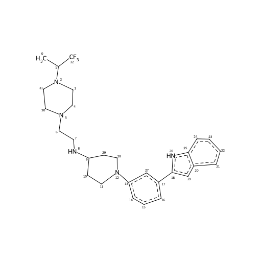 CC(N1CCN(CCNC2CCN(c3cccc(-c4cc5ccccc5[nH]4)c3)CC2)CC1)C(F)(F)F